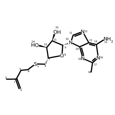 C=C(C)CCSC[C@H]1O[C@@H](n2cnc3c(N)nc(C)nc32)[C@H](O)[C@@H]1O